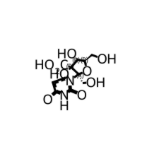 O=C(O)[C@@]1(O)[C@H](O)[C@@H](CO)O[C@@]1(CO)n1ccc(=O)[nH]c1=O